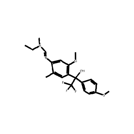 CCN(C)/C=N/c1cc(OC)c(C(O)(c2ccc(SC)cc2)C(F)(F)F)cc1C